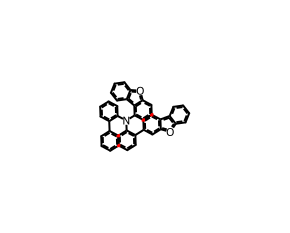 c1ccc(-c2ccccc2N(c2ccccc2-c2ccc3c(c2)oc2ccccc23)c2cccc3oc4ccccc4c23)cc1